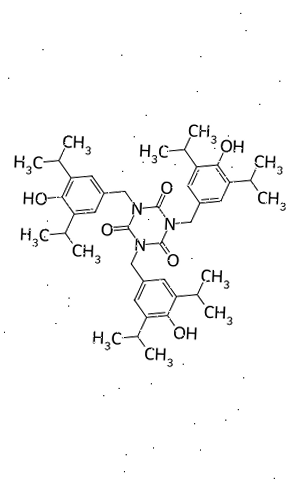 CC(C)c1cc(Cn2c(=O)n(Cc3cc(C(C)C)c(O)c(C(C)C)c3)c(=O)n(Cc3cc(C(C)C)c(O)c(C(C)C)c3)c2=O)cc(C(C)C)c1O